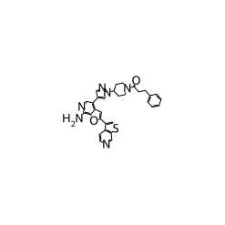 Nc1ncc(-c2cnn(C3CCN(C(=O)CCc4ccccc4)CC3)c2)c2cc(-c3csc4cnccc34)oc12